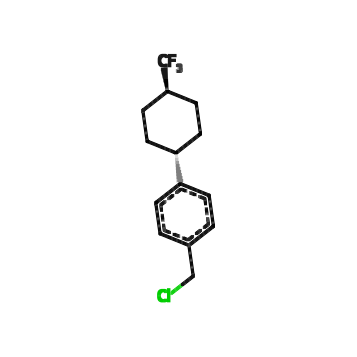 FC(F)(F)[C@H]1CC[C@H](c2ccc(CCl)cc2)CC1